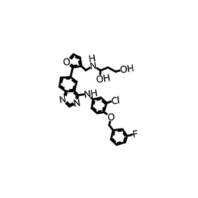 OCCC(O)NCc1ccoc1-c1ccc2ncnc(Nc3ccc(OCc4cccc(F)c4)c(Cl)c3)c2c1